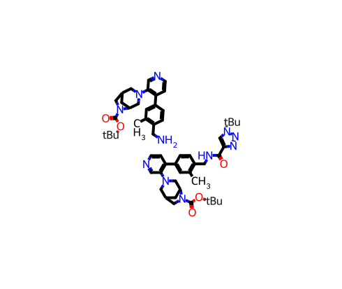 Cc1cc(-c2ccncc2N2CC3CC(C2)N(C(=O)OC(C)(C)C)C3)ccc1CN.Cc1cc(-c2ccncc2N2CC3CC(C2)N(C(=O)OC(C)(C)C)C3)ccc1CNC(=O)c1cn(C(C)(C)C)nn1